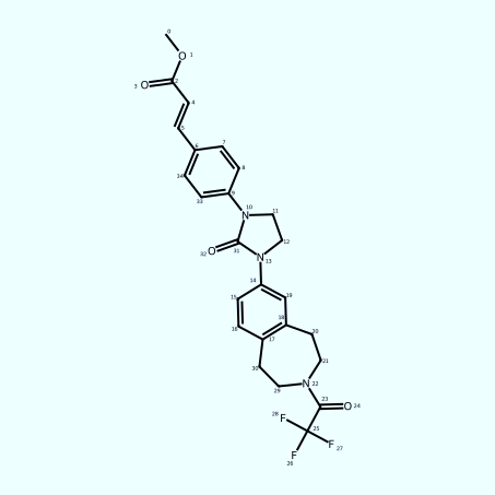 COC(=O)C=Cc1ccc(N2CCN(c3ccc4c(c3)CCN(C(=O)C(F)(F)F)CC4)C2=O)cc1